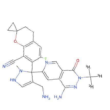 [2H]C([2H])([2H])n1nc(N)c2cc(C3(c4c(F)cc5c(c4C#N)OC4(CC5)CC4)C(CN)=CNN3C)ncc2c1=O